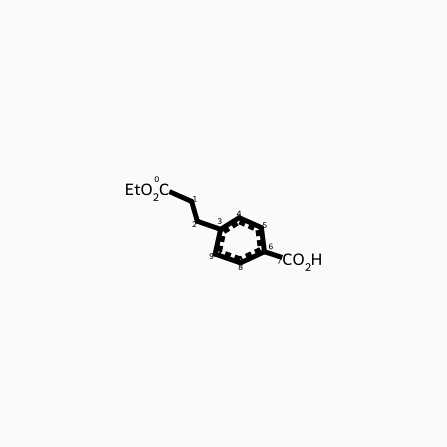 CCOC(=O)CCc1ccc(C(=O)O)cc1